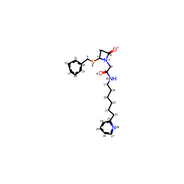 O=C(CN1C(=O)CC1SCc1ccccc1)NCCCCCCc1ccccn1